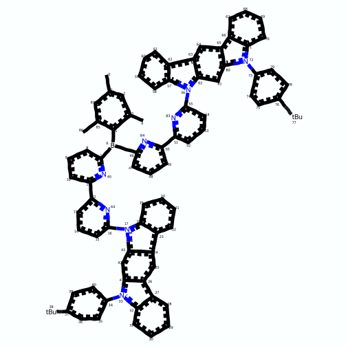 Cc1cc(C)c(B(c2cccc(-c3cccc(-n4c5ccccc5c5cc6c7ccccc7n(-c7ccc(C(C)(C)C)cc7)c6cc54)n3)n2)c2cccc(-c3cccc(-n4c5ccccc5c5cc6c7ccccc7n(-c7ccc(C(C)(C)C)cc7)c6cc54)n3)n2)c(C)c1